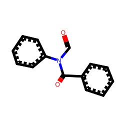 O=CN(C(=O)c1ccccc1)c1ccccc1